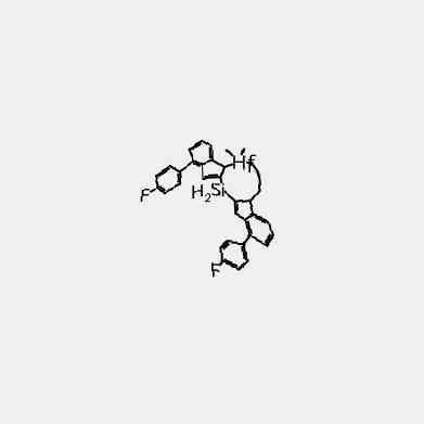 [CH3][Hf]1([CH3])[CH2]CCC2C(=Cc3c(-c4ccc(F)cc4)cccc32)[SiH2]C2=Cc3c(-c4ccc(F)cc4)cccc3[CH]21